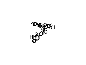 Cc1ccc(C[C@@H](OC(=O)N2CCC(N3CCc4ccccc4NC3=O)CC2)C(=O)N2CCN(C3CCN(C)CC3)CC2)cc1Cl